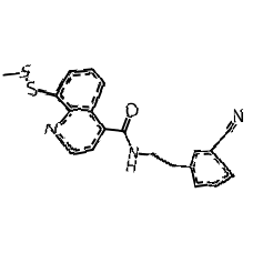 CSSc1cccc2c(C(=O)NCCc3cccc(C#N)c3)ccnc12